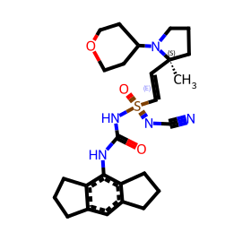 C[C@@]1(/C=C/S(=O)(=NC#N)NC(=O)Nc2c3c(cc4c2CCC4)CCC3)CCCN1C1CCOCC1